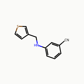 N#Cc1cccc(NCc2ccsc2)c1